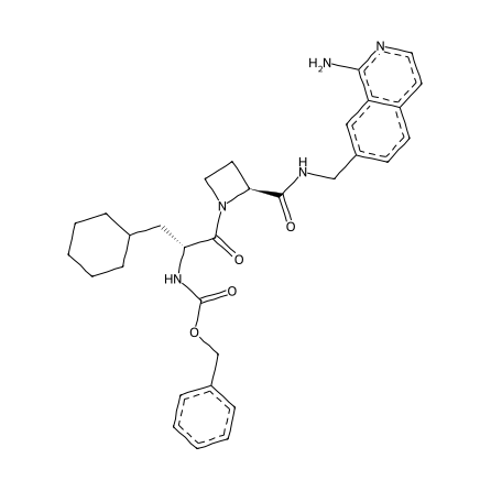 Nc1nccc2ccc(CNC(=O)[C@@H]3CCN3C(=O)[C@@H](CC3CCCCC3)NC(=O)OCc3ccccc3)cc12